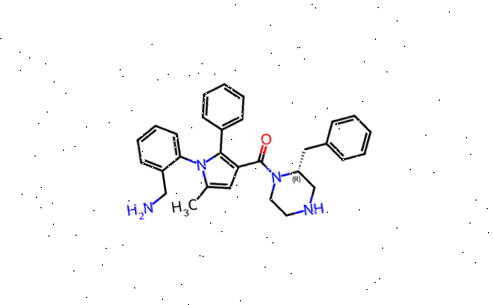 Cc1cc(C(=O)N2CCNC[C@H]2Cc2ccccc2)c(-c2ccccc2)n1-c1ccccc1CN